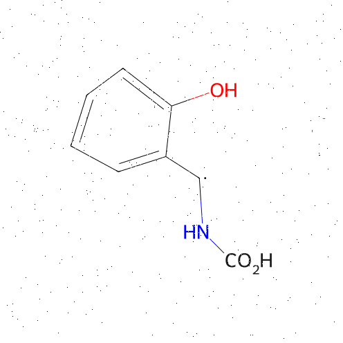 O=C(O)N[CH]c1ccccc1O